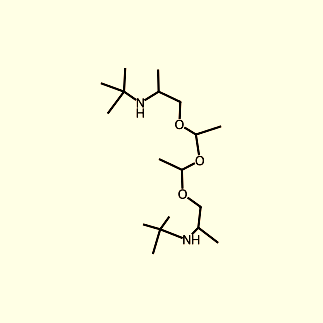 CC(COC(C)OC(C)OCC(C)NC(C)(C)C)NC(C)(C)C